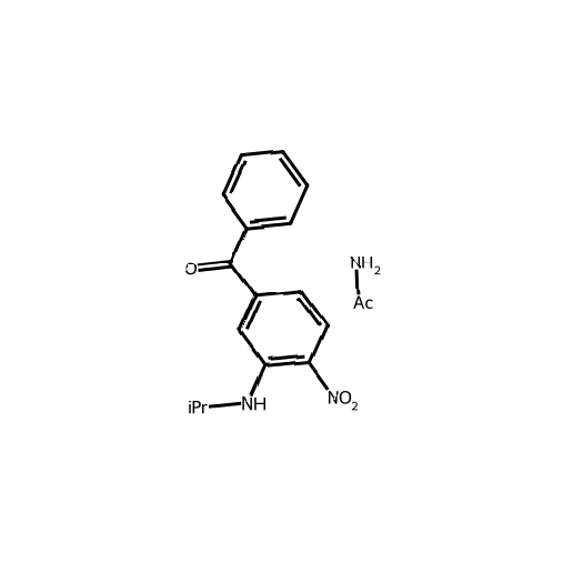 CC(C)Nc1cc(C(=O)c2ccccc2)ccc1[N+](=O)[O-].CC(N)=O